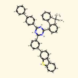 CC1(C)c2ccccc2-c2c(-c3nc(-c4ccc(-c5ccccc5)cc4)nc(-c4cccc(-c5ccc6c(c5)sc5ccccc56)c4)n3)cccc21